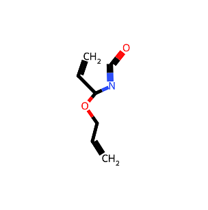 C=CCOC(C=C)N=C=O